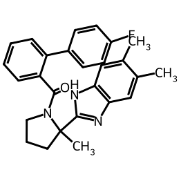 Cc1cc2nc(C3(C)CCCN3C(=O)c3ccccc3-c3ccc(F)cc3)[nH]c2cc1C